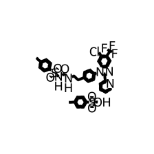 Cc1ccc(S(=O)(=O)NC(=O)NCCc2ccc(-n3c(-c4ccccn4)nc4cc(C(F)(F)F)c(Cl)cc43)cc2)cc1.Cc1ccc(S(=O)(=O)O)cc1